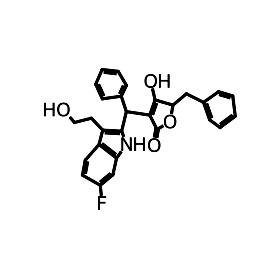 O=C1OC(Cc2ccccc2)C(O)=C1C(c1ccccc1)c1[nH]c2cc(F)ccc2c1CCO